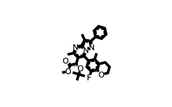 COC(=O)[C@@H](OC(C)(C)C)c1c(C)nc2c(C)c(-c3ccccc3)nn2c1-c1cc(F)c2c(c1C)CCCO2